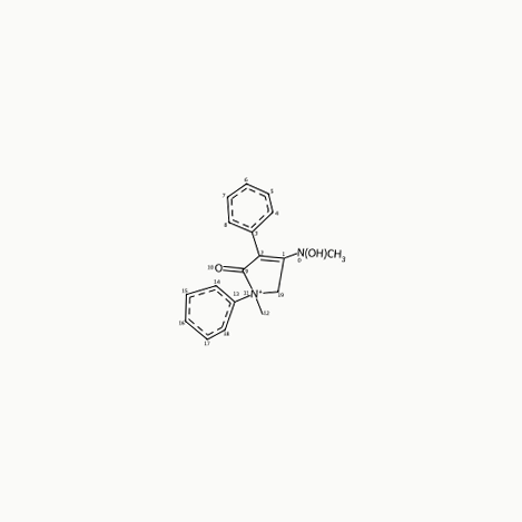 CN(O)C1=C(c2ccccc2)C(=O)[N+](C)(c2ccccc2)C1